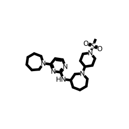 CS(=O)(=O)N1CCC(N2CCCCC(Nc3nccc(N4CCCCCC4)n3)C2)CC1